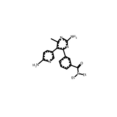 CCN(CC)C(=O)c1cccc(-c2nc(N)nc(C)c2-c2ccc(N)nc2)c1